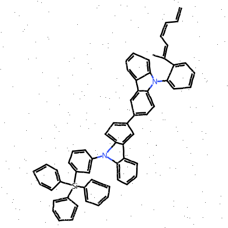 C=C/C=C\C=C(/C)c1ccccc1-n1c2ccccc2c2cc(-c3ccc4c(c3)c3ccccc3n4-c3cccc([Si](c4ccccc4)(c4ccccc4)c4ccccc4)c3)ccc21